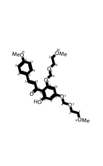 COCCOCOc1cc(O)c(C(=O)C=Cc2ccc(OC)cc2)c(OCOCCOC)c1